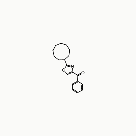 O=C(c1ccccc1)c1coc(C2CCCCCCCC2)n1